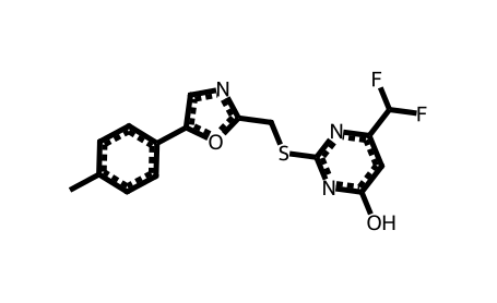 Cc1ccc(-c2cnc(CSc3nc(O)cc(C(F)F)n3)o2)cc1